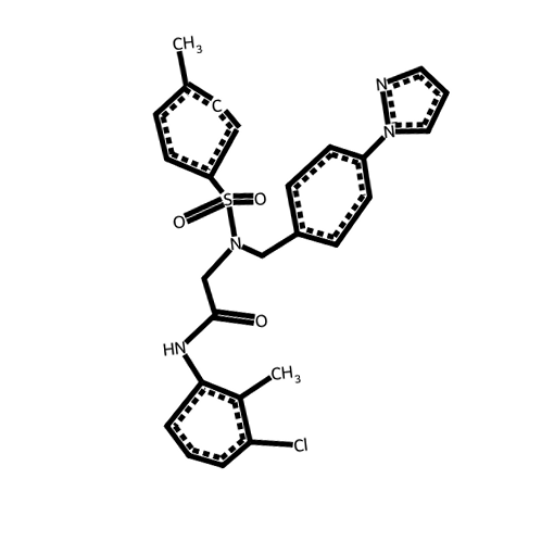 Cc1ccc(S(=O)(=O)N(CC(=O)Nc2cccc(Cl)c2C)Cc2ccc(-n3cccn3)cc2)cc1